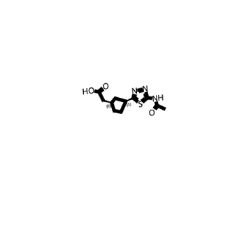 CC(=O)Nc1nnc([C@H]2CC[C@@H](CC(=O)O)C2)s1